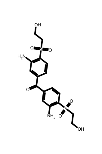 Nc1cc(C(=O)c2ccc(S(=O)(=O)CCO)c(N)c2)ccc1S(=O)(=O)CCO